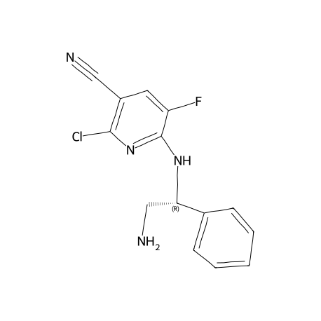 N#Cc1cc(F)c(N[C@@H](CN)c2ccccc2)nc1Cl